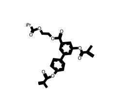 C=C(C)C(=O)Oc1ccc(-c2cc(OC(=O)C(=C)C)cc(C(=O)OCCOC(=O)C(C)C)c2)cc1